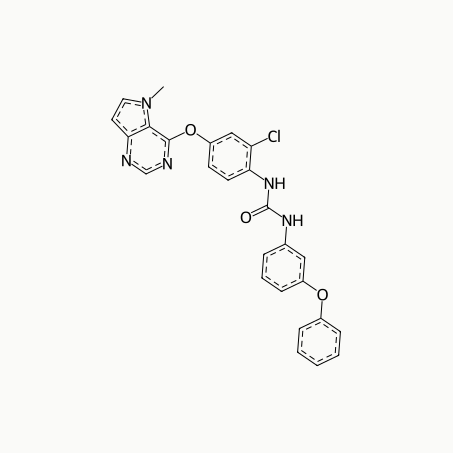 Cn1ccc2ncnc(Oc3ccc(NC(=O)Nc4cccc(Oc5ccccc5)c4)c(Cl)c3)c21